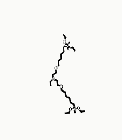 CCO[Si](C)(CCCCCCOCCN(CC)CCOCCCCCC[Si](C)(OCC)OCC)OCC